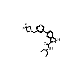 CCC(CC)NC(=O)c1n[nH]c2ccc(-c3cncc(CN4CC(F)(F)C4)c3)cc12